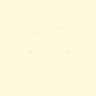 CCc1cccc2c1C(N)COC2.Cl